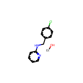 CCO.Clc1ccc(CNc2ccccn2)cc1